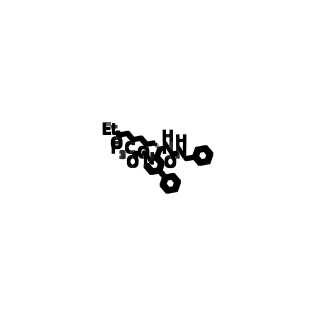 CCC(=O)CCCCC[C@H](NC(=O)NCc1ccccc1)c1cc(-c2ccccc2)cc[n+]1OC(=O)C(F)(F)F